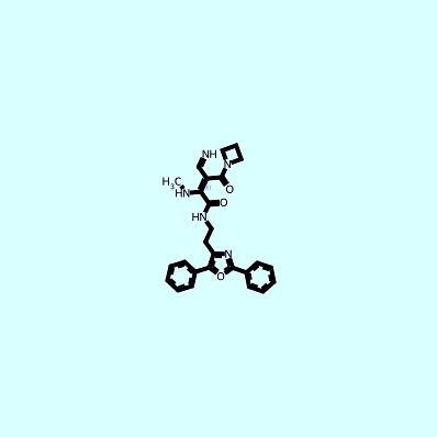 CN/C(C(=O)NCCc1nc(-c2ccccc2)oc1-c1ccccc1)=C(\C=N)C(=O)N1CCC1